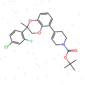 CC(C)(C)OC(=O)N1CC=C(c2cccc3c2OCC(C)(c2ccc(Cl)cc2F)O3)CC1